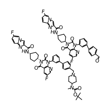 CN(C(=O)OC(C)(C)C)C1CCN(Cc2ccc(-c3cccc(-n4c(=O)n([C@H]5CC[C@@H](NC(=O)c6cn7cc(F)ccc7n6)CC5)c(=O)c5cc(F)cnc54)c3)cc2)CC1.O=Cc1ccc(-c2cccc(-n3c(=O)n([C@H]4CC[C@@H](NC(=O)c5cn6cc(F)ccc6n5)CC4)c(=O)c4cc(F)cnc43)c2)cc1